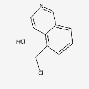 Cl.ClCc1cccc2cnccc12